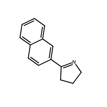 c1ccc2cc(C3=NCCC3)ccc2c1